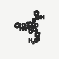 COc1ccc(COC(=O)C2=C(COc3c[nH]c4ccccc34)CSC3C(NC(=O)Cc4ccccc4)C(=O)N23)cc1